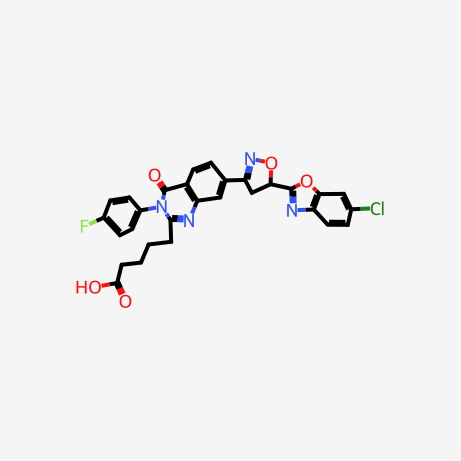 O=C(O)CCCCc1nc2cc(C3=NOC(c4nc5ccc(Cl)cc5o4)C3)ccc2c(=O)n1-c1ccc(F)cc1